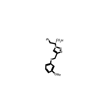 COc1cccc(SCc2cn([C@H](CC(C)C)C(=O)O)nn2)c1